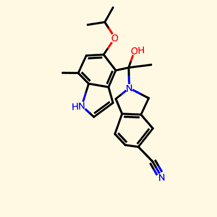 Cc1cc(OC(C)C)c(C(C)(O)N2Cc3ccc(C#N)cc3C2)c2cc[nH]c12